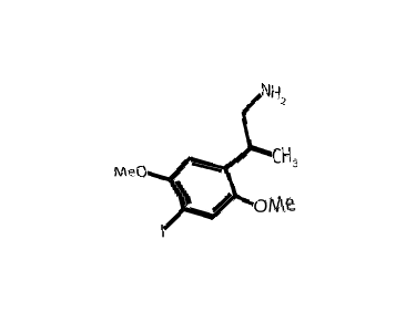 COc1cc(C(C)CN)c(OC)cc1I